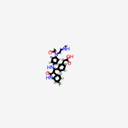 CNCCN(C(C)=O)c1ccc(N/C(=C2\C(=O)Nc3cc(F)ccc32)c2cccc(CC(=O)O)c2)cc1